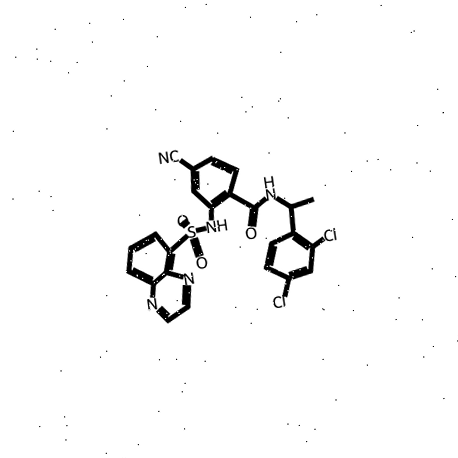 CC(NC(=O)c1ccc(C#N)cc1NS(=O)(=O)c1cccc2nccnc12)c1ccc(Cl)cc1Cl